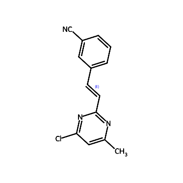 Cc1cc(Cl)nc(/C=C/c2cccc(C#N)c2)n1